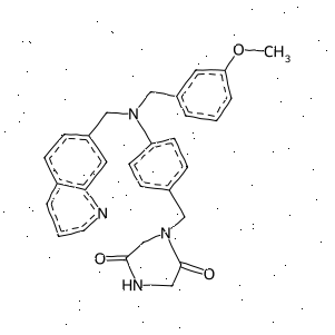 COc1cccc(CN(Cc2ccc3cccnc3c2)c2ccc(CN3CC(=O)NCC3=O)cc2)c1